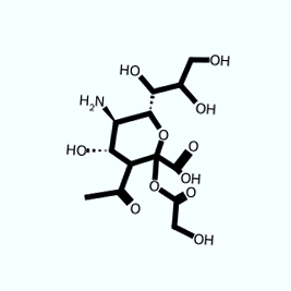 CC(=O)C1[C@H](O)[C@@H](N)[C@H](C(O)C(O)CO)OC1(OC(=O)CO)C(=O)O